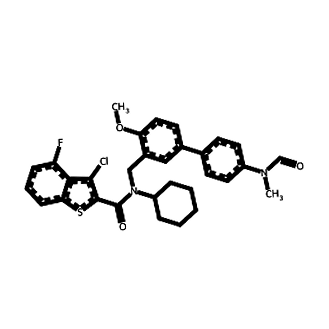 COc1ccc(-c2ccc(N(C)C=O)cc2)cc1CN(C(=O)c1sc2cccc(F)c2c1Cl)C1CCCCC1